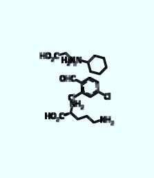 NC1CCCCC1.NCC(=O)O.NCCC[C@H](N)C(=O)O.O=Cc1ccc(Cl)cc1Cl